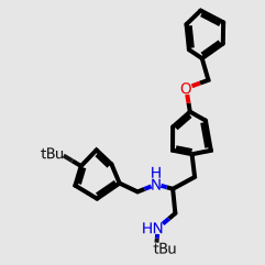 CC(C)(C)NCC(Cc1ccc(OCc2ccccc2)cc1)NCc1ccc(C(C)(C)C)cc1